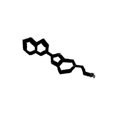 CCCn1ccc2nc(-c3ccc4ccccc4c3)nc-2c1